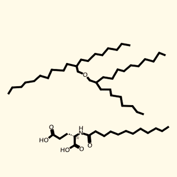 CCCCCCCCCCC(CCCCCCCC)COCC(CCCCCCCC)CCCCCCCCCC.CCCCCCCCCCCC(=O)N[C@@H](CCC(=O)O)C(=O)O